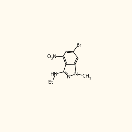 CCNc1nn(C)c2cc(Br)cc([N+](=O)[O-])c12